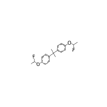 CC(F)Oc1ccc(C(C)(C)c2ccc(OC(C)F)cc2)cc1